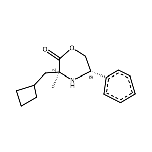 C[C@@]1(CC2CCC2)N[C@@H](c2ccccc2)COC1=O